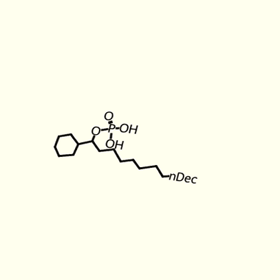 CCCCCCCCCCCCCCCCCC(OP(=O)(O)O)C1CCCCC1